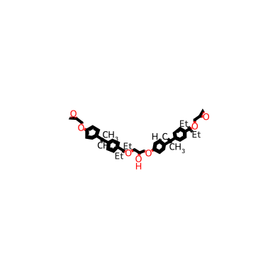 CCC(CC)(OCC(O)COc1ccc(C(C)(C)c2ccc(C(CC)(CC)OCC3CO3)cc2)cc1)c1ccc(C(C)(C)c2ccc(OCC3CO3)cc2)cc1